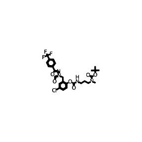 CN(CCCNC(=O)Oc1ccc(Cl)cc1Cn1nc(-c2ccc(C(F)(F)F)cc2)oc1=O)C(=O)OC(C)(C)C